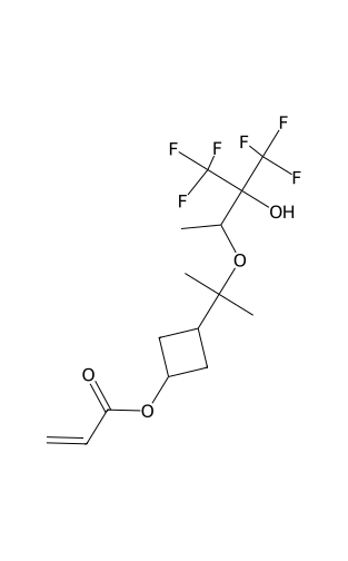 C=CC(=O)OC1CC(C(C)(C)OC(C)C(O)(C(F)(F)F)C(F)(F)F)C1